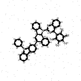 [2H]c1c([2H])c([2H])c(-c2nc(N3c4ccccc4C4C=C(c5ccc6c7ccccc7n(-c7ccccc7)c6c5)c5ccccc5C43)nc3ccccc23)c([2H])c1[2H]